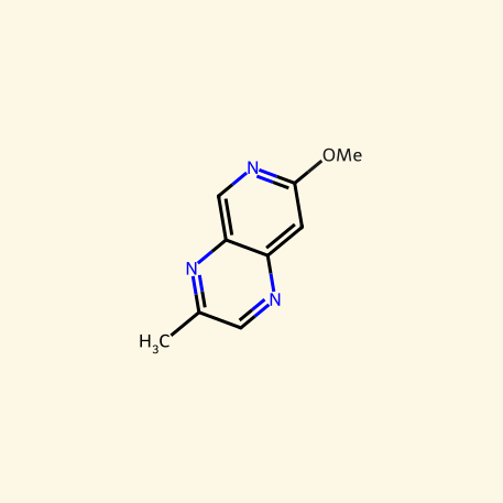 COc1cc2ncc(C)nc2cn1